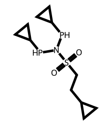 O=S(=O)(CCC1CC1)N(PC1CC1)PC1CC1